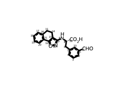 O=Cc1cccc(C[C@H](Nc2noc3c2CCc2ccccc2-3)C(=O)O)c1